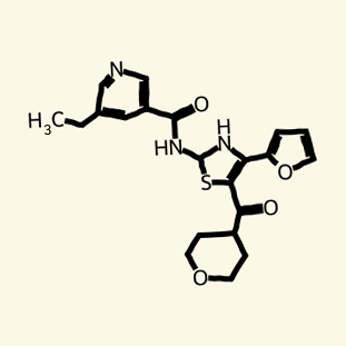 CCc1cncc(C(=O)NC2NC(c3ccco3)=C(C(=O)C3CCOCC3)S2)c1